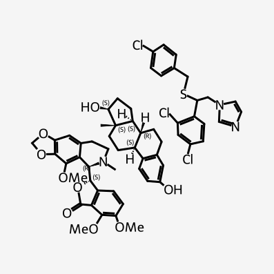 COc1ccc2c(c1OC)C(=O)O[C@@H]2[C@H]1c2c(cc3c(c2OC)OCO3)CCN1C.C[C@]12CC[C@@H]3c4ccc(O)cc4CC[C@H]3[C@@H]1CC[C@@H]2O.Clc1ccc(CSC(Cn2ccnc2)c2ccc(Cl)cc2Cl)cc1